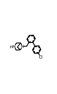 Clc1ccc(-c2ccccc2CN2C3CNCC2C3)cc1